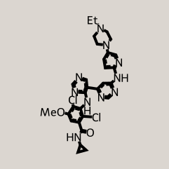 CCN1CCN(c2ccc(Nc3cc(-c4cncnc4Nc4c(Cl)c(OC)cc(C(=O)NC5CC5)c4Cl)ncn3)nc2)CC1